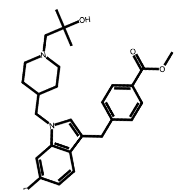 COC(=O)c1ccc(Cc2cn(CC3CCN(CC(C)(C)O)CC3)c3cc(F)ccc23)cc1